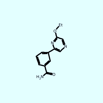 CCOc1cncc(-c2cccc(C(N)=O)c2)n1